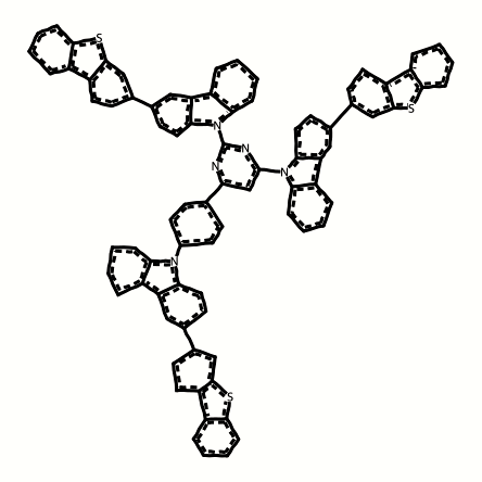 c1ccc2c(c1)sc1cc(-c3ccc4c(c3)c3ccccc3n4-c3ccc(-c4cc(-n5c6ccccc6c6cc(-c7ccc8c(c7)sc7ccccc78)ccc65)nc(-n5c6ccccc6c6cc(-c7ccc8c(c7)sc7ccccc78)ccc65)n4)cc3)ccc12